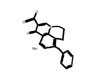 O=C([O-])c1cn2c3c(c(-c4ccccc4)ccc3c1=O)CCC2.[Na+]